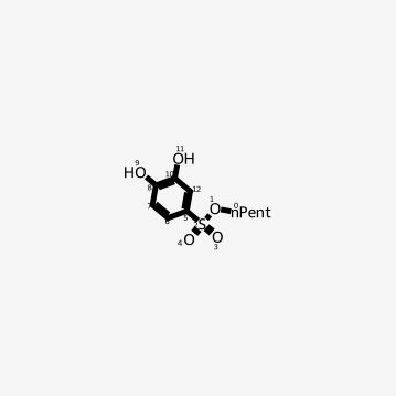 CCCCCOS(=O)(=O)c1ccc(O)c(O)c1